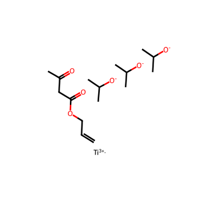 C=CCOC(=O)CC(C)=O.CC(C)[O-].CC(C)[O-].CC(C)[O-].[Ti+3]